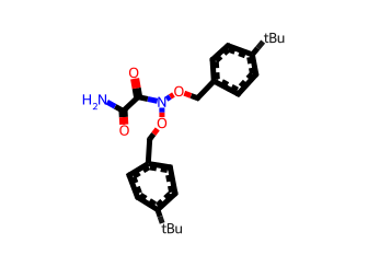 CC(C)(C)c1ccc(CON(OCc2ccc(C(C)(C)C)cc2)C(=O)C(N)=O)cc1